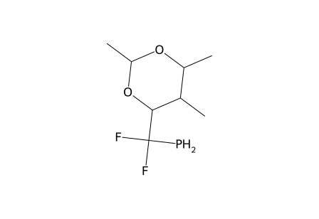 CC1OC(C)C(C)C(C(F)(F)P)O1